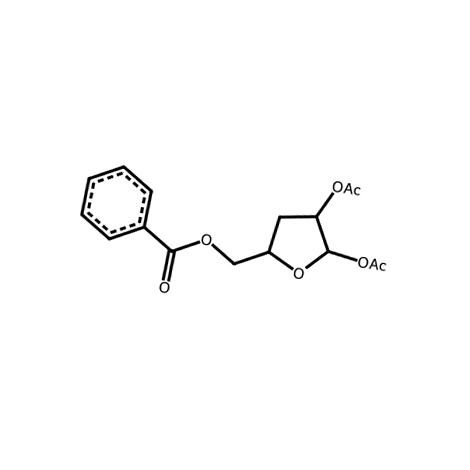 CC(=O)OC1CC(COC(=O)c2ccccc2)OC1OC(C)=O